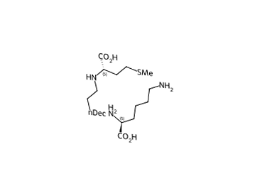 CCCCCCCCCCCCN[C@@H](CCSC)C(=O)O.NCCCC[C@H](N)C(=O)O